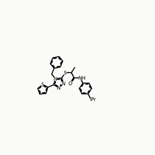 CC(Sc1nnc(-c2cccs2)n1Cc1ccccc1)C(=O)Nc1ccc(C(C)C)cc1